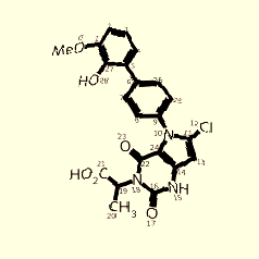 COc1cccc(-c2ccc(-n3c(Cl)cc4[nH]c(=O)n(C(C)C(=O)O)c(=O)c43)cc2)c1O